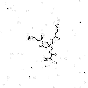 CC(C(=O)OCC(CO)(COC(=O)CCN1CC1)COC(=O)CCN1CC1)N1CC1